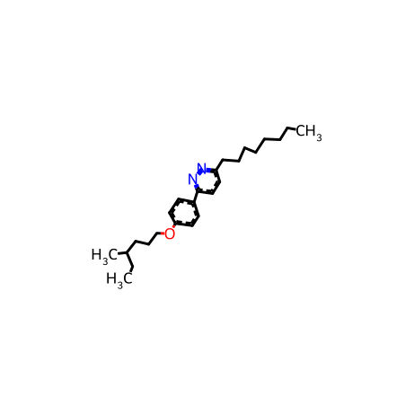 CCCCCCCCc1ccc(-c2ccc(OCCCC(C)CC)cc2)nn1